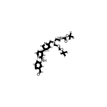 CC(C)(C)OCOCN(CCNC(=O)OC(C)(C)C)Cc1ccc(-c2ccnc(Nc3cccc(C=O)c3)c2)cn1